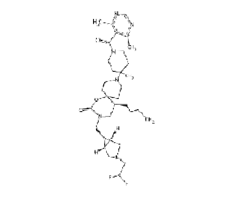 CCCC[C@H]1CN(C[C@H]2[C@@H]3CN(CC(F)F)C[C@@H]32)C(=O)OC12CCN(C1(C)CCN(C(=O)c3c(C)ncnc3C)CC1)CC2